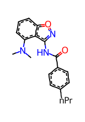 CCCc1ccc(C(=O)Nc2noc3cccc(N(C)C)c23)cc1